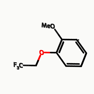 COc1[c]cccc1OCC(F)(F)F